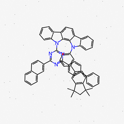 CC1(C)CC(C)(C)c2cc(-c3cccc(-n4c5ccccc5c5ccc6c7ccccc7n(-c7nc(-c8ccc(-c9ccccc9)cc8)nc(-c8ccc9ccccc9c8)n7)c6c54)c3)ccc21